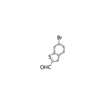 O=Cc1cc2ccc(Br)cc2s1